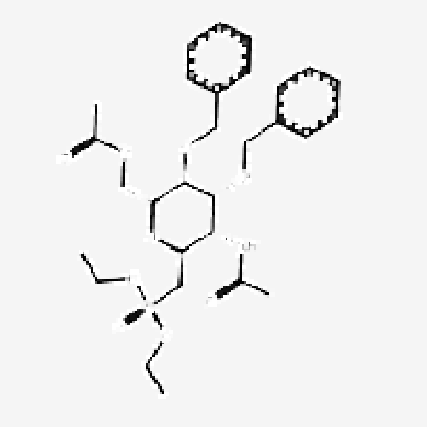 CCOP(=O)(C[C@H]1O[C@H](COC(C)=O)[C@@H](OCc2ccccc2)[C@H](OCc2ccccc2)[C@@H]1NC(C)=O)OCC